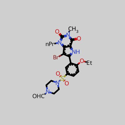 CCCn1c(=O)n(C)c(=O)c2[nH]c(-c3cc(S(=O)(=O)N4CCN(C=O)CC4)ccc3OCC)c(Br)c21